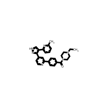 CCN1CCN(C(=O)c2ccc(-c3cc(-c4n[nH]cc4-c4cccc(C)n4)ccn3)cc2)CC1